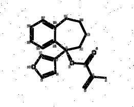 C=C(C)C(=O)O[C@]1(c2ccoc2)CCCCc2ccccc21